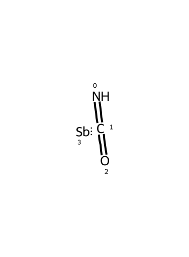 N=C=O.[Sb]